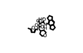 Cc1ccc(N(C2CCOCC2)S(=O)(=O)[NH+]([O-])C(=O)Nc2c3c(cc4c2CCC4)CCC3)o1